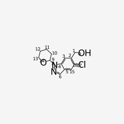 OCc1cc2c(cnn2C2CCCCO2)cc1Cl